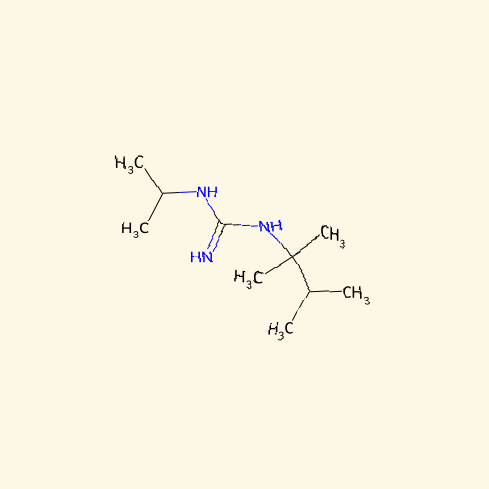 CC(C)NC(=N)NC(C)(C)C(C)C